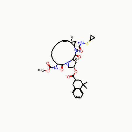 CC(C)(C)OC(=O)N[C@H]1CCCCC/C=C\[C@@H]2C[C@@]2(C(=O)NSC2CC2)NC(=O)[C@@H]2C[C@@H](OC(=O)C3Cc4ccccc4C(C)(C)C3)CN2C1=O